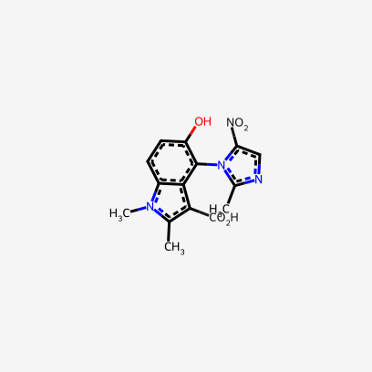 Cc1ncc([N+](=O)[O-])n1-c1c(O)ccc2c1c(C(=O)O)c(C)n2C